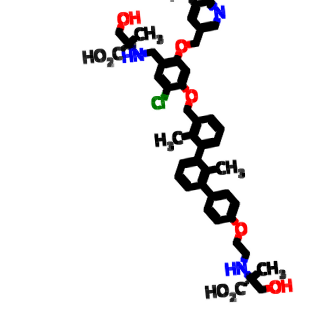 Cc1c(COc2cc(OCc3cncc(C#N)c3)c(CN[C@@](C)(CO)C(=O)O)cc2Cl)cccc1-c1cccc(-c2ccc(OCCN[C@@](C)(CO)C(=O)O)cc2)c1C